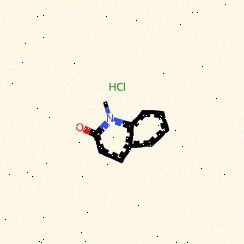 Cl.Cn1c(=O)ccc2ccccc21